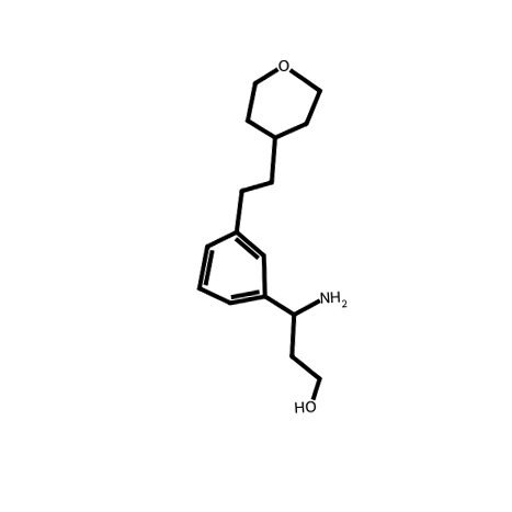 NC(CCO)c1cccc(CCC2CCOCC2)c1